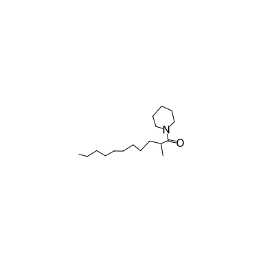 CCCCCCCCCC(C)C(=O)N1CCCCC1